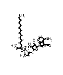 CCCCCCCCCCCCCC(CC)OP(=O)(O)OC(CC)C[C@H]1O[C@@H](n2cc(C#N)c3c(N)ncnc32)[C@H](O)[C@H]1O